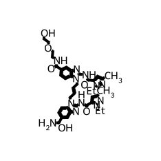 CCn1nc(C)cc1C(=O)Nc1nc2cc(C(=O)NCCOCCO)ccc2n1C/C=C/Cn1c(NC(=O)c2cc(C)nn2CC)nc2cc(C(N)O)ccc21